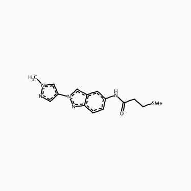 CSCCC(=O)Nc1ccc2nn(-c3cnn(C)c3)cc2c1